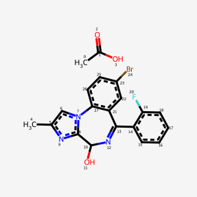 CC(=O)O.Cc1cn2c(n1)C(O)N=C(c1ccccc1F)c1cc(Br)ccc1-2